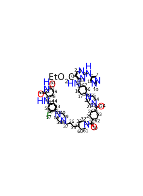 CCOC(=O)c1cnc(Nc2cnn(C)c2)nc1NC1CCC(N2CCN(C(=O)C3CCC(C(=O)N4CCC(CCCN5CCN(c6ccc(NC7CCC(=O)NC7=O)cc6F)CC5)CC4)CC3)CC2)CC1